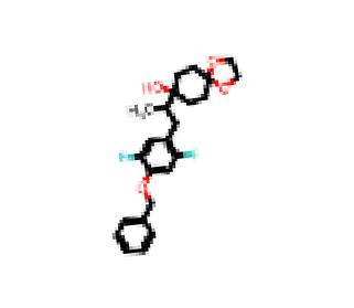 CC(Cc1cc(F)c(OCc2ccccc2)cc1F)C1(O)CCC2(CC1)OCCO2